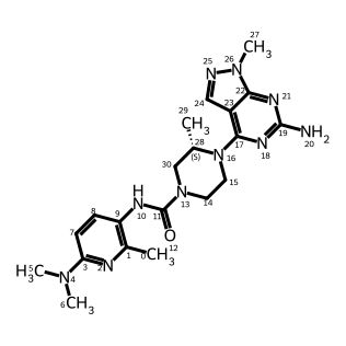 Cc1nc(N(C)C)ccc1NC(=O)N1CCN(c2nc(N)nc3c2cnn3C)[C@@H](C)C1